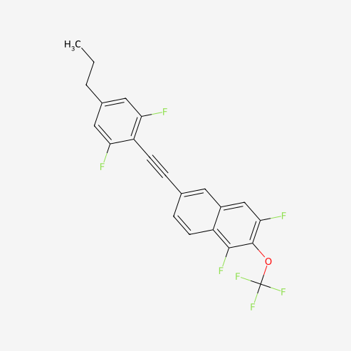 CCCc1cc(F)c(C#Cc2ccc3c(F)c(OC(F)(F)F)c(F)cc3c2)c(F)c1